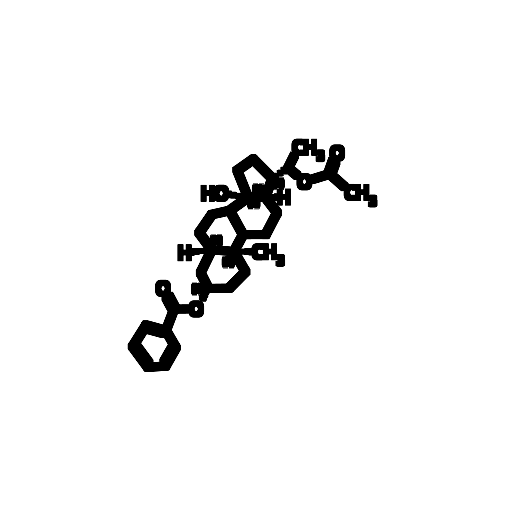 CC(=O)OC(C)[C@H]1CC[C@]2(O)C3CC[C@@H]4C[C@@H](OC(=O)c5ccccc5)CC[C@]4(C)C3CC[C@H]12